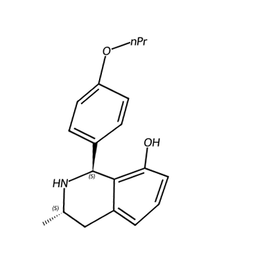 CCCOc1ccc([C@@H]2N[C@@H](C)Cc3cccc(O)c32)cc1